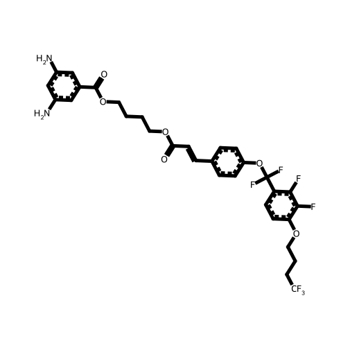 Nc1cc(N)cc(C(=O)OCCCCOC(=O)/C=C/c2ccc(OC(F)(F)c3ccc(OCCCC(F)(F)F)c(F)c3F)cc2)c1